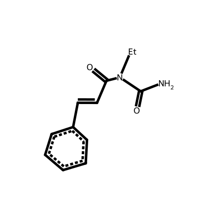 CCN(C(N)=O)C(=O)/C=C/c1ccccc1